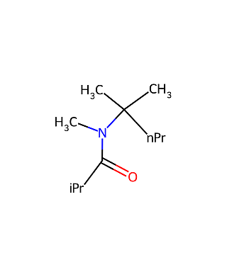 CCCC(C)(C)N(C)C(=O)C(C)C